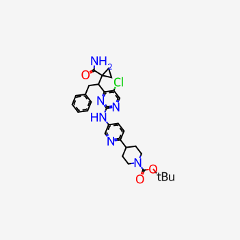 CC(C)(C)OC(=O)N1CCC(c2ccc(Nc3ncc(Cl)c(C(Cc4ccccc4)C4(C(N)=O)CC4)n3)cn2)CC1